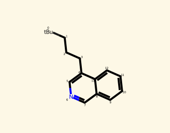 CC(C)(C)CCCc1cncc2ccccc12